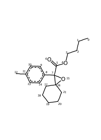 CCCCOC(=O)C1(c2ccc(C)cc2)OC12CCCCC2